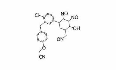 N#CCOc1ccc(Cc2cc(C3CC(CN=O)C(O)C(N=O)C3N=O)ccc2Cl)cc1